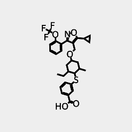 CCC1CC(OCc2c(-c3ccccc3OC(F)(F)F)noc2C2CC2)CC(C)C1Sc1cccc(C(=O)O)c1